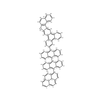 C1=CC2=CC=C3C=CC(c4c5ccccc5c(-c5c6ccccc6c(-c6ccc7c(c6)c6ccccc6c6cc8c(cc76)oc6ccc7ccccc7c68)c6ccccc56)c5ccccc45)=C4C=CC(=C1)C2C34